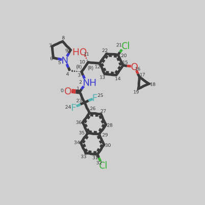 O=C(N[C@H](CN1CCCC1)[C@H](O)c1ccc(OC2CC2)c(Cl)c1)C(F)(F)c1ccc2cc(Cl)ccc2c1